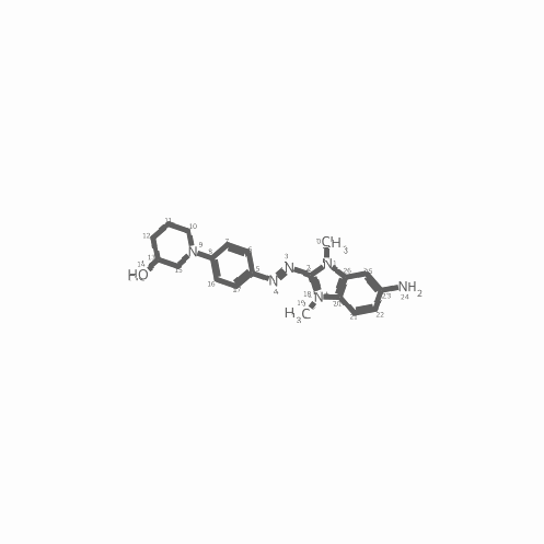 Cn1c(/N=N/c2ccc(N3CCCC(O)C3)cc2)[n+](C)c2ccc(N)cc21